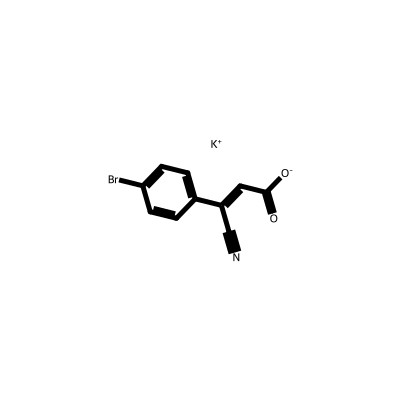 N#C/C(=C\C(=O)[O-])c1ccc(Br)cc1.[K+]